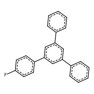 Fc1ccc(-c2cc(-c3ccccc3)cc(-c3ccccc3)c2)cc1